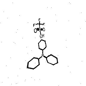 C1CCC(P(C2CCCCC2)C2CCCCC2)CC1.O=S(=O)(O)C(F)(F)F